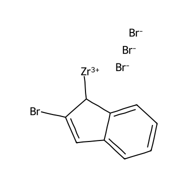 BrC1=Cc2ccccc2[CH]1[Zr+3].[Br-].[Br-].[Br-]